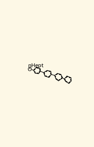 CCCCCCCOc1ccc(-c2ccc(-c3ccc(-c4ccccc4)cc3)cc2)cc1